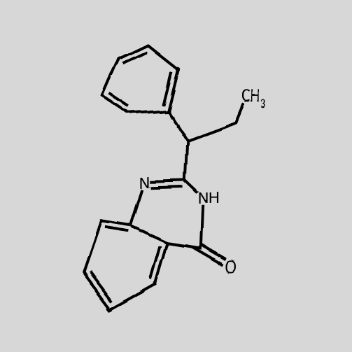 CCC(c1ccccc1)c1nc2ccccc2c(=O)[nH]1